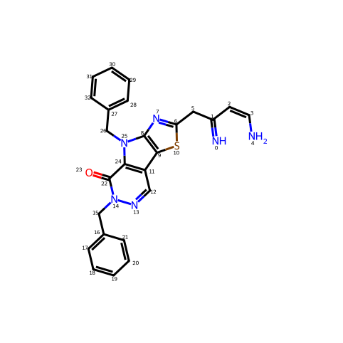 N=C(/C=C\N)Cc1nc2c(s1)c1cnn(Cc3ccccc3)c(=O)c1n2Cc1ccccc1